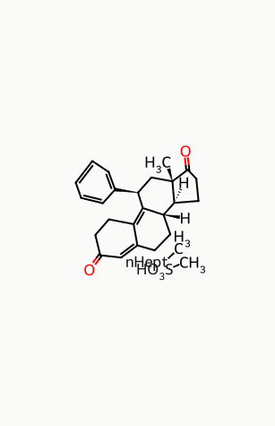 CCCCCCCC.CS(=O)(=O)O.C[C@]12C[C@H](c3ccccc3)C3=C4CCC(=O)C=C4CC[C@H]3[C@@H]1CCC2=O